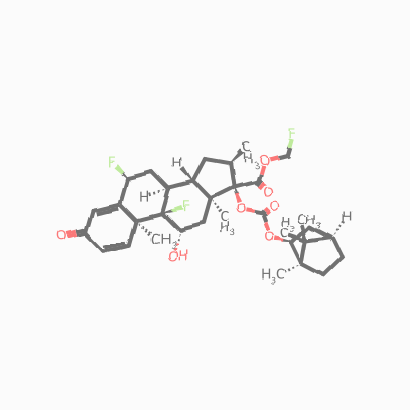 C[C@@H]1C[C@H]2[C@@H]3C[C@H](F)C4=CC(=O)C=C[C@]4(C)[C@@]3(F)[C@@H](O)C[C@]2(C)[C@@]1(OC(=O)O[C@H]1C[C@H]2CC[C@]1(C)C2(C)C)C(=O)OCF